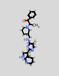 CC(C(=O)c1ccccc1)N1CCCC(CNc2nc(-c3c[nH]c4ncccc34)ncc2F)C1